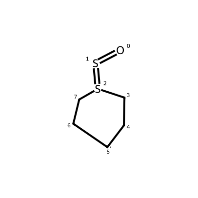 O=S=S1CC[CH]CC1